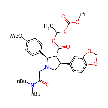 CCCCN(CCCC)C(=O)CN1C[C@H](c2ccc3c(c2)OCO3)[C@@H](C(=O)OC(C)OC(=O)OC(C)C)[C@@H]1c1ccc(OC)cc1